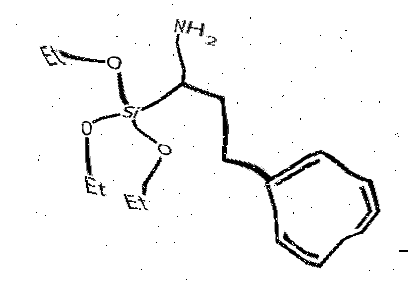 CCO[Si](OCC)(OCC)C(N)CCc1ccccc1